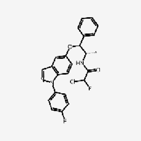 C[C@H](NC(=O)C(F)Cl)[C@@H](Oc1ccc2c(cnn2-c2ccc(F)cc2)c1)c1ccccc1